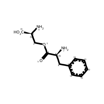 N[C@@H](COC(=O)[C@@H](N)Cc1ccccc1)C(=O)O